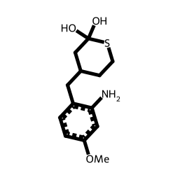 COc1ccc(CC2CCSC(O)(O)C2)c(N)c1